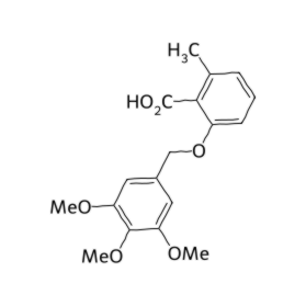 COc1cc(COc2cccc(C)c2C(=O)O)cc(OC)c1OC